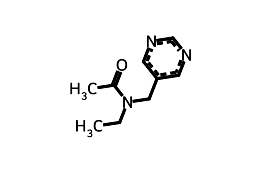 CCN(Cc1cncnc1)C(C)=O